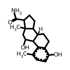 Cc1ccc(O)c2c1C1C(O)CC3(C)C(C(N)=O)CCC3[C@@H]1CC2